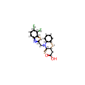 O=C(O)CC1Sc2ccccc2N(Cc2nc3ccc(F)c(F)c3s2)C1=S